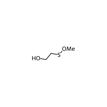 COSCCO